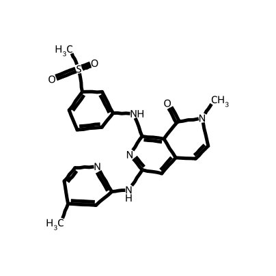 Cc1ccnc(Nc2cc3ccn(C)c(=O)c3c(Nc3cccc(S(C)(=O)=O)c3)n2)c1